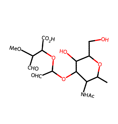 COC(C=O)C(OC(C=O)OC1C(O)C(CO)OC(C)C1NC(C)=O)C(=O)O